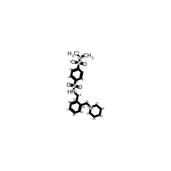 CN(C)S(=O)(=O)c1ccc(S(=O)(=O)NCc2ccccc2CN2CCCCC2)cc1